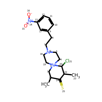 CC1C[N+]2(CCN(CCc3cccc([N+](=O)[O-])c3)CC2)C(Cl)C(C)C1=S